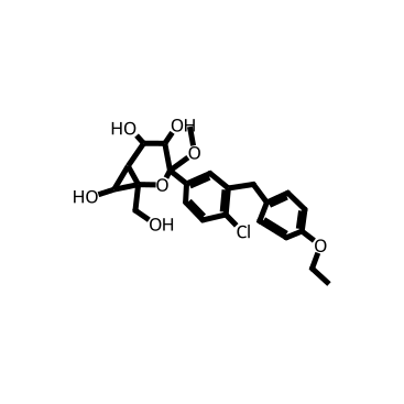 CCOc1ccc(Cc2cc(C3(OC)OC4(CO)C(O)C4C(O)C3O)ccc2Cl)cc1